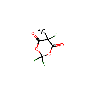 CC1(F)C(=O)O[B-](F)(F)OC1=O